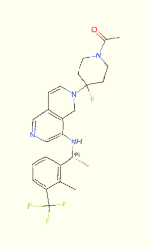 CC(=O)N1CCC(F)(N2C=Cc3cncc(N[C@H](C)c4cccc(C(F)(F)F)c4C)c3C2)CC1